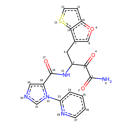 NC(=O)C(=O)C(Cc1coc2ccsc12)NC(=O)c1cncn1-c1ccccn1